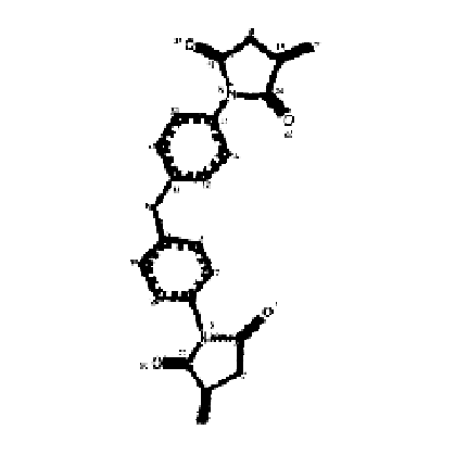 C=C1CC(=O)N(c2ccc(Cc3ccc(N4C(=O)CC(=C)C4=O)cc3)cc2)C1=O